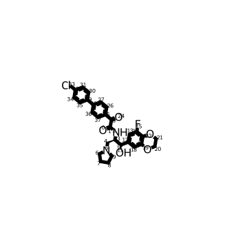 O=C(N[C@H](CN1CCCC1)[C@H](O)c1cc(F)c2c(c1)OCCO2)C(=O)c1ccc(-c2ccc(Cl)cc2)cc1